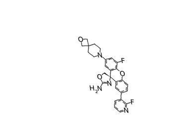 NC1=N[C@@]2(CO1)c1cc(-c3cccnc3F)ccc1Oc1c(F)cc(N3CCC4(CC3)COC4)cc12